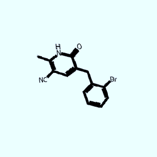 Cc1[nH]c(=O)c(Cc2ccccc2Br)cc1C#N